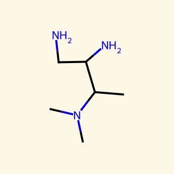 CC(C(N)CN)N(C)C